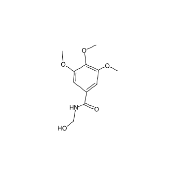 COc1cc(C(=O)NCO)cc(OC)c1OC